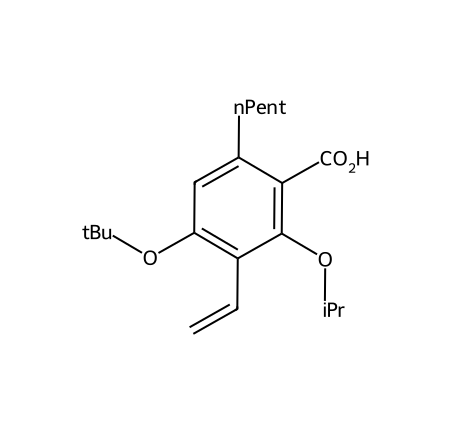 C=Cc1c(OC(C)(C)C)cc(CCCCC)c(C(=O)O)c1OC(C)C